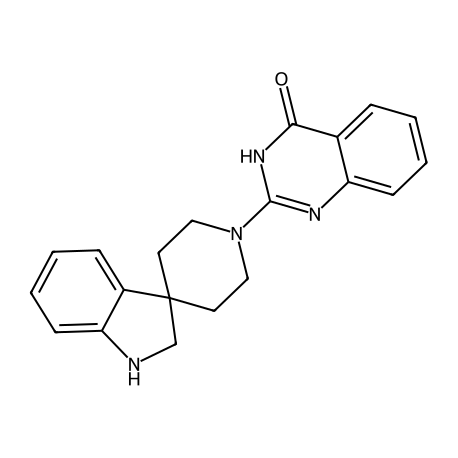 O=c1[nH]c(N2CCC3(CC2)CNc2ccccc23)nc2ccccc12